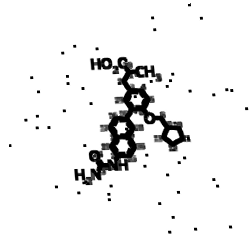 CC(Cc1ccc(OCC2CCCC2)c(-c2ccc3cc(NC(N)=O)ccc3c2)c1)C(=O)O